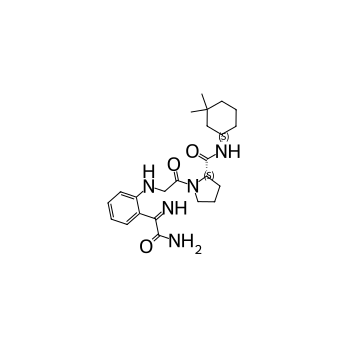 CC1(C)CCC[C@H](NC(=O)[C@@H]2CCCN2C(=O)CNc2ccccc2C(=N)C(N)=O)C1